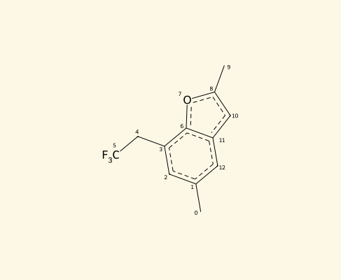 Cc1cc(CC(F)(F)F)c2oc(C)cc2c1